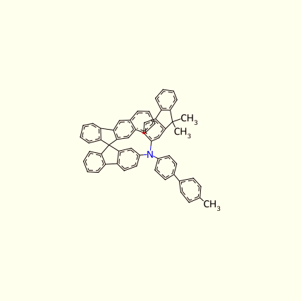 Cc1ccc(-c2ccc(N(c3ccc4c(c3)C(C)(C)c3ccccc3-4)c3ccc4c(c3)C3(c5ccccc5-4)c4ccccc4-c4cc5ccccc5cc43)cc2)cc1